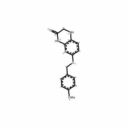 COc1ccc(COc2ccc3c(n2)NC(=O)CN3)cc1